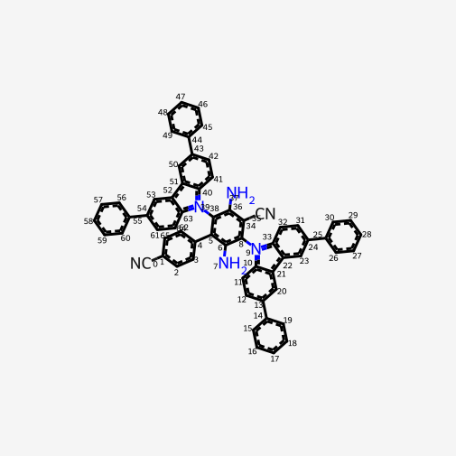 N#Cc1ccc(-c2c(N)c(-n3c4ccc(-c5ccccc5)cc4c4cc(-c5ccccc5)ccc43)c(C#N)c(N)c2-n2c3ccc(-c4ccccc4)cc3c3cc(-c4ccccc4)ccc32)cc1